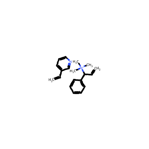 C=CC(c1ccccc1)[N+](C)(C)C.C=Cc1cccnc1